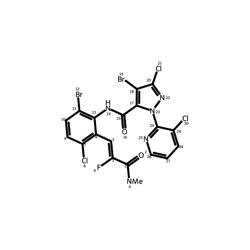 CNC(=O)C(F)=Cc1c(Cl)ccc(Br)c1NC(=O)c1c(Br)c(Cl)nn1-c1ncccc1Cl